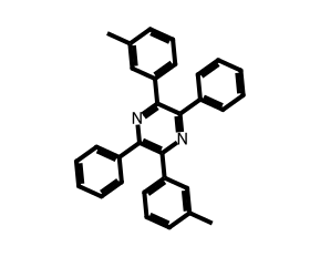 Cc1cccc(-c2nc(-c3ccccc3)c(-c3cccc(C)c3)nc2-c2ccccc2)c1